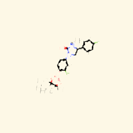 CN1C(=O)N(c2ccc(B3OC(C)(C)C(C)(C)O3)c(F)c2)CC1c1ccc(F)cc1